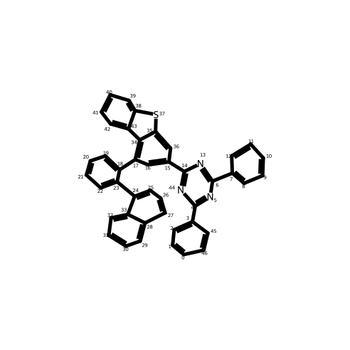 c1ccc(-c2nc(-c3ccccc3)nc(-c3cc(-c4ccccc4-c4cccc5ccccc45)c4c(c3)sc3ccccc34)n2)cc1